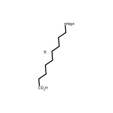 CCCCCCCCCCCCCCCC(=O)O.[Tl]